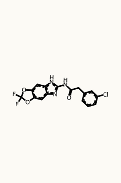 O=C(Cc1cccc(Cl)c1)Nc1nc2cc3c(cc2[nH]1)OC(F)(F)O3